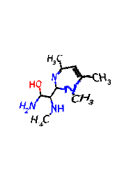 CNC(C(N)O)C1N=C(C)C=C(C)N1C